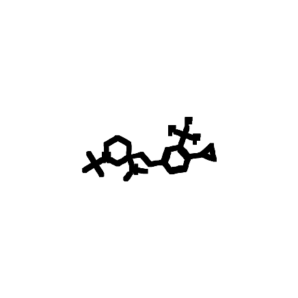 CN(C)[C@@]1(CCc2ccc(C3CC3)c(C(F)(F)F)c2)CCCN(C(C)(C)C)C1